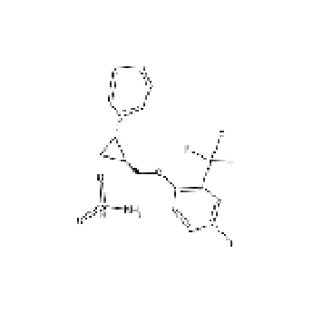 Fc1ccc(OC[C@H]2C[C@@H]2c2ccccc2)c(C(F)(F)F)c1.N[SH](=O)=O